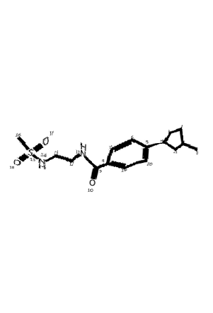 CC1CC[C@H](c2ccc(C(=O)NCCNS(C)(=O)=O)cc2)C1